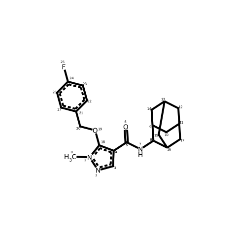 Cn1ncc(C(=O)NC2C3CC4CC(C3)CC2C4)c1OCc1ccc(F)cc1